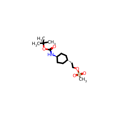 CC(C)(C)OC(=O)N[C@H]1CC[C@H](CCOS(C)(=O)=O)CC1